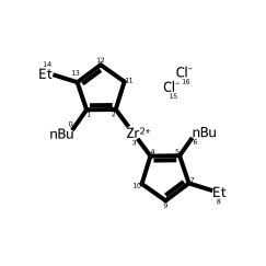 CCCCC1=[C]([Zr+2][C]2=C(CCCC)C(CC)=CC2)CC=C1CC.[Cl-].[Cl-]